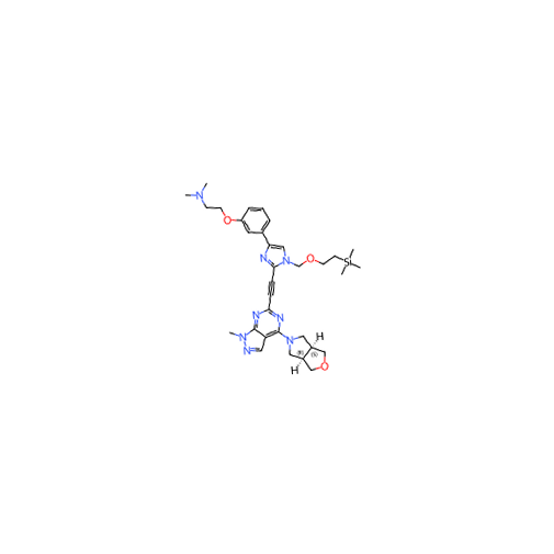 CN(C)CCOc1cccc(-c2cn(COCC[Si](C)(C)C)c(C#Cc3nc(N4C[C@H]5COC[C@H]5C4)c4cnn(C)c4n3)n2)c1